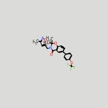 Cc1cc(CN2C(=O)c3cc(-c4ccc(OC(F)(F)F)cc4)ccc3OC2(C)C)on1